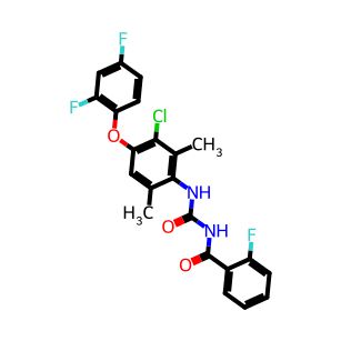 Cc1cc(Oc2ccc(F)cc2F)c(Cl)c(C)c1NC(=O)NC(=O)c1ccccc1F